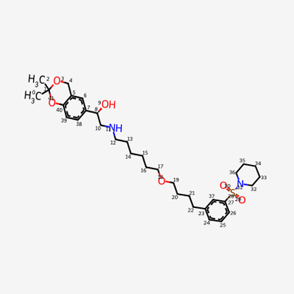 CC1(C)OCc2cc([C@@H](O)CNCCCCCCOCCCCc3cccc(S(=O)(=O)N4CCCCC4)c3)ccc2O1